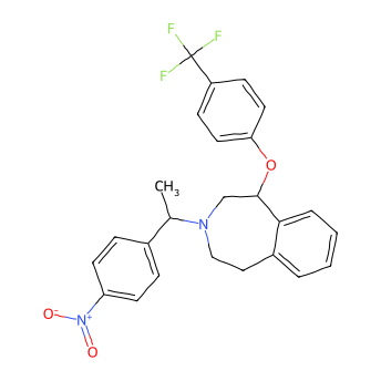 CC(c1ccc([N+](=O)[O-])cc1)N1CCc2ccccc2C(Oc2ccc(C(F)(F)F)cc2)C1